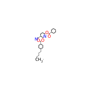 [CH2]CCCCc1ccc(C(=O)Oc2nc(OC(=O)c3ccccc3)ccc2C#N)cc1